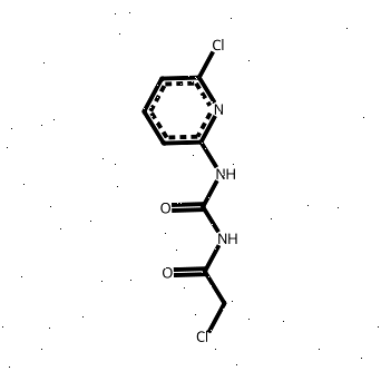 O=C(CCl)NC(=O)Nc1cccc(Cl)n1